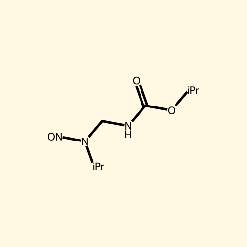 CC(C)OC(=O)NCN(N=O)C(C)C